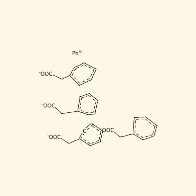 O=C([O-])Cc1ccccc1.O=C([O-])Cc1ccccc1.O=C([O-])Cc1ccccc1.O=C([O-])Cc1ccccc1.[Pb+4]